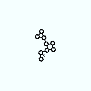 c1ccc2c(c1)-c1ccccc1-c1cc(-c3ccc4c5ccccc5c5ccccc5c4c3)ccc1-c1cc(-c3cccc4c3sc3ccccc34)ccc1-2